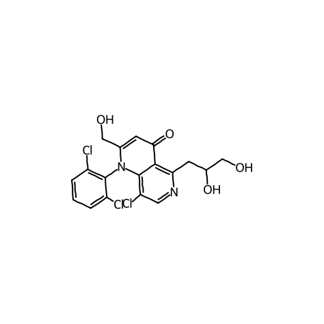 O=c1cc(CO)n(-c2c(Cl)cccc2Cl)c2c(Cl)cnc(CC(O)CO)c12